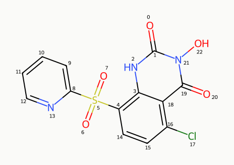 O=c1[nH]c2c(S(=O)(=O)c3ccccn3)ccc(Cl)c2c(=O)n1O